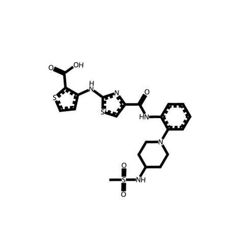 CS(=O)(=O)NC1CCN(c2ccccc2NC(=O)c2csc(Nc3ccsc3C(=O)O)n2)CC1